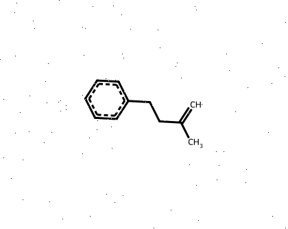 [CH]=C(C)CCc1ccccc1